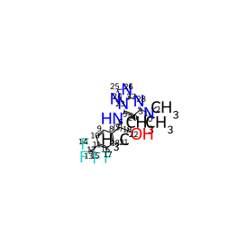 CN(C)c1cc(N[C@@H](c2ccc(C(F)(F)F)c(F)c2)C(C)(C)O)n2ncnc2n1